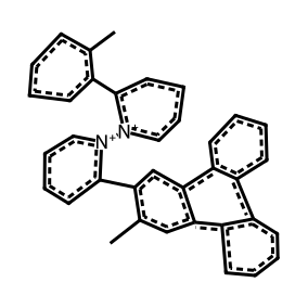 Cc1ccccc1-c1cccc[n+]1-[n+]1ccccc1-c1cc2c3ccccc3c3ccccc3c2cc1C